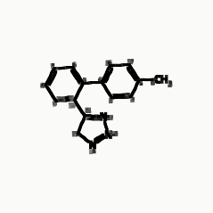 Cc1ccc(-c2ccccc2C2=NN=NC2)cc1